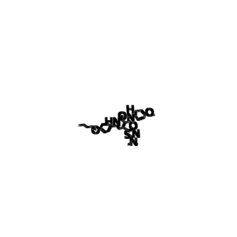 CCCCOc1ccc(-c2cc(-c3cnc(N(C)C)s3)c(C(=O)Nc3ccc(OC)cc3)c(=O)[nH]2)cc1